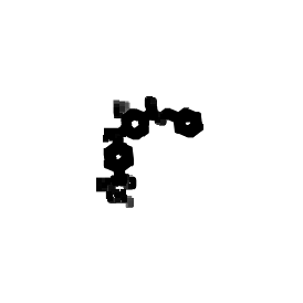 CNC(=O)c1ccc(NC2CCN(C(=O)OCc3ccccc3)CC2)cc1.[Cl-].[H+]